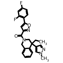 CCC1(c2cnn(C)c2)CN(C(=O)c2cc(-c3ccc(F)cc3F)on2)Cc2ccccc21